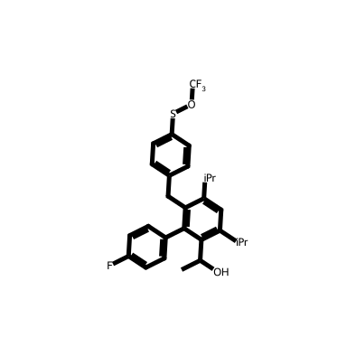 CC(C)c1cc(C(C)C)c(C(C)O)c(-c2ccc(F)cc2)c1Cc1ccc(SOC(F)(F)F)cc1